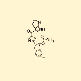 CC(C)(OC(N)=O)C(Cc1ccc(F)cc1)c1ncc(C(=O)c2c[nH]c3ncccc23)s1